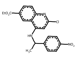 CCOC(=O)c1ccc2nc(Cl)cc(NC(C)c3ccc([N+](=O)[O-])cc3)c2c1